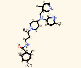 Cc1ccncc1CN(c1ccc(C(F)(F)F)nc1)C1CCN([C@H](C)CCNC(=O)c2c(C)cc(C#N)cc2C)CC1